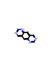 [c]1ncnc2cc3cncnc3cc12